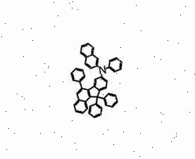 c1ccc(-c2cc3ccccc3c3c2-c2cc(N(c4ccccc4)c4ccc5ccccc5c4)ccc2C3(c2ccccc2)c2ccccc2)cc1